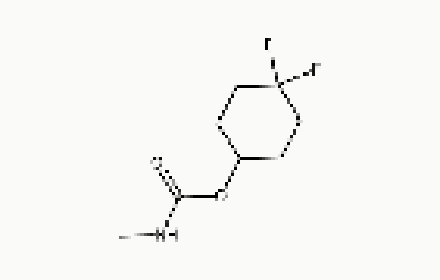 CNC(=O)OC1CCC(F)(F)CC1